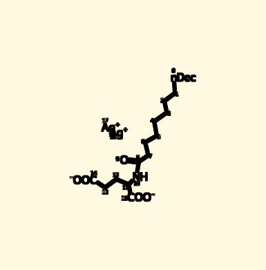 CCCCCCCCCCCCCCCCCC(=O)NC(CCC(=O)[O-])C(=O)[O-].[Ag+].[Ag+]